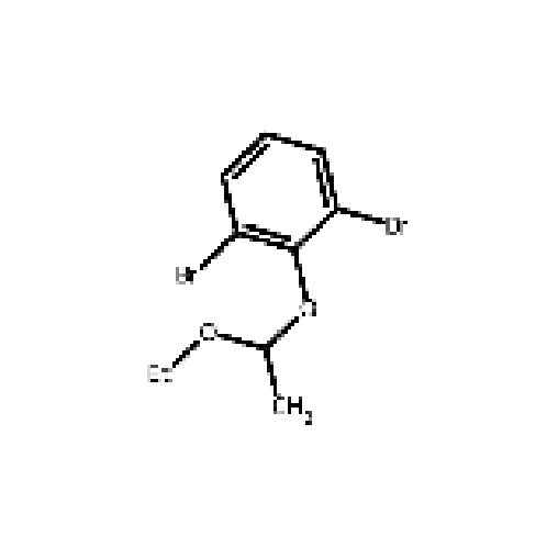 CCOC(C)Oc1c(Br)cccc1Br